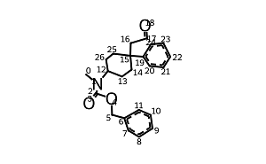 CN(C(=O)OCc1ccccc1)C1CCC(CC=O)(c2ccccc2)CC1